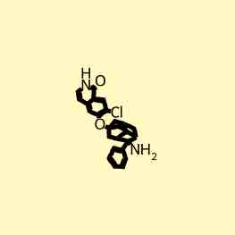 NC1(c2ccccc2)C2CC3CC1CC(Oc1cc4cc[nH]c(=O)c4cc1Cl)(C3)C2